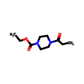 CCOC(=O)N1CCN(C(=O)CC)CC1